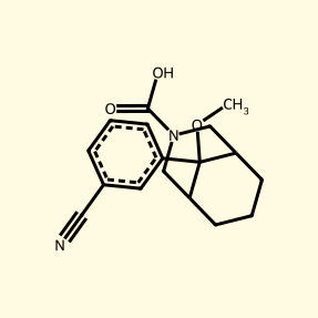 COC1(c2cccc(C#N)c2)C2CCCC1CN(C(=O)O)C2